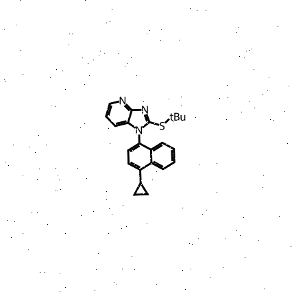 CC(C)(C)Sc1nc2ncccc2n1-c1ccc(C2CC2)c2ccccc12